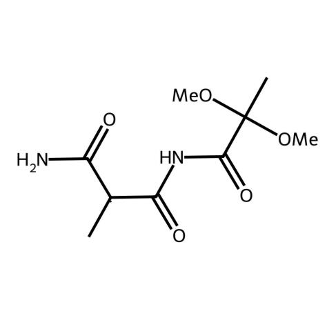 COC(C)(OC)C(=O)NC(=O)[C](C)C(N)=O